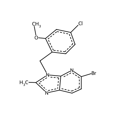 COc1cc(Cl)ccc1Cn1c(C)nc2ccc(Br)nc21